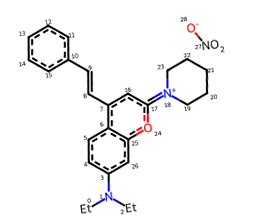 CCN(CC)c1ccc2c(C=Cc3ccccc3)cc(=[N+]3CCCCC3)oc2c1.O=[N+]([O-])[O-]